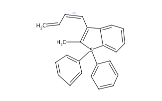 C=C/C=C\C1=C(C)S(c2ccccc2)(c2ccccc2)c2ccccc21